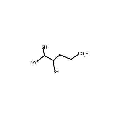 CCCC(S)C(S)CCC(=O)O